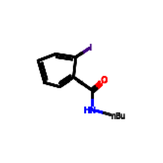 CCCCNC(=O)c1ccccc1I